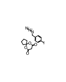 O=C1CC(=O)OC2(CCCC2)O1.[N-]=[N+]=NCc1ccc(I)cc1